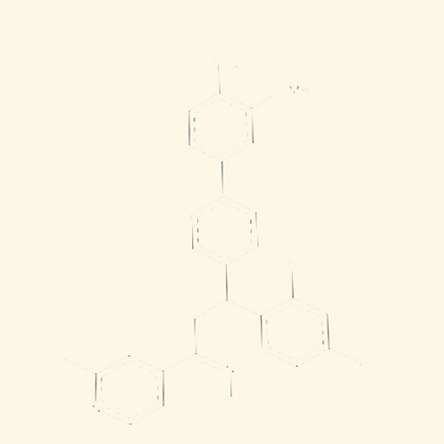 COc1cc(-c2ccc(C(C/C(=N/O)c3ccnc(C)c3)c3ccc(Cl)cc3F)cc2)ccc1C(=O)O